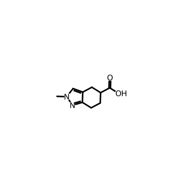 Cn1cc2c(n1)CCC(C(=O)O)C2